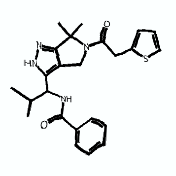 CC(C)C(NC(=O)c1ccccc1)c1[nH]nc2c1CN(C(=O)Cc1cccs1)C2(C)C